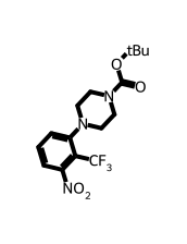 CC(C)(C)OC(=O)N1CCN(c2cccc([N+](=O)[O-])c2C(F)(F)F)CC1